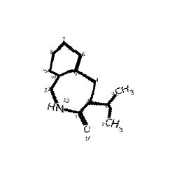 CC(C)C1CC2CCCCC2CNC1=O